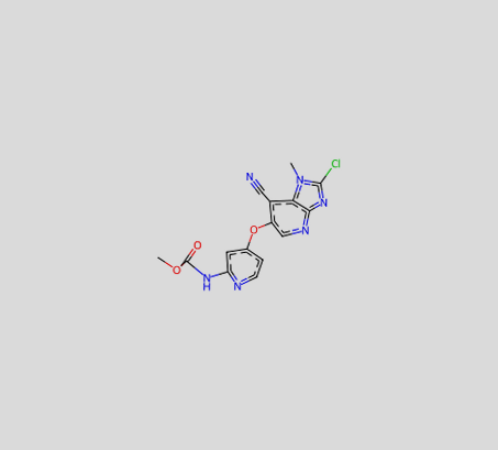 COC(=O)Nc1cc(Oc2cnc3nc(Cl)n(C)c3c2C#N)ccn1